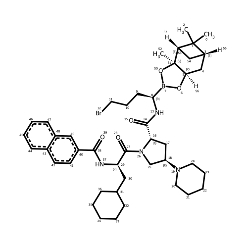 CC1(C)[C@@H]2C[C@H]3OB([C@H](CCCBr)NC(=O)[C@@H]4C[C@@H](N5CCCCC5)CN4C(=O)[C@@H](CC4CCCCC4)NC(=O)c4ccc5ccccc5c4)O[C@@]3(C)[C@H]1C2